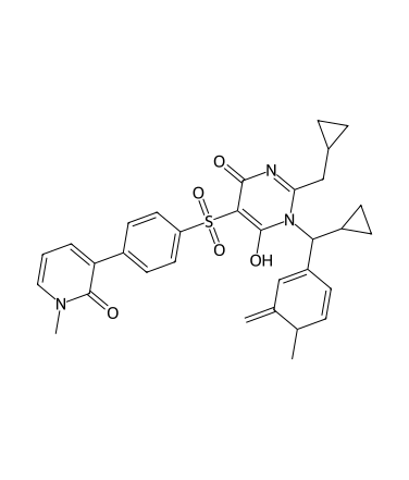 C=C1C=C(C(C2CC2)n2c(CC3CC3)nc(=O)c(S(=O)(=O)c3ccc(-c4cccn(C)c4=O)cc3)c2O)C=CC1C